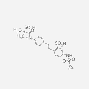 CC(C)(C(=O)Nc1ccc(/C=C/c2ccc(NS(=O)(=O)C3CC3)cc2S(=O)(=O)O)cc1)S(=O)(=O)O